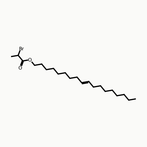 CCCCCCCCC=CCCCCCCCCOC(=O)C(C)Br